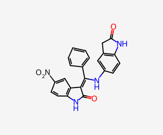 O=C1Cc2cc(NC(=C3C(=O)Nc4ccc([N+](=O)[O-])cc43)c3ccccc3)ccc2N1